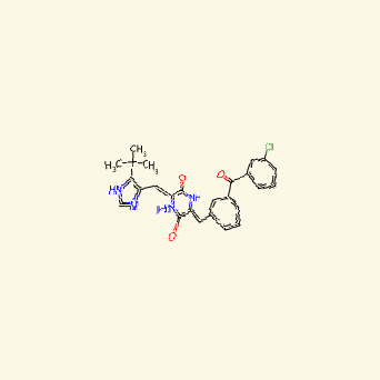 CC(C)(C)c1[nH]cnc1/C=c1\[nH]c(=O)/c(=C/c2cccc(C(=O)c3cccc(Cl)c3)c2)[nH]c1=O